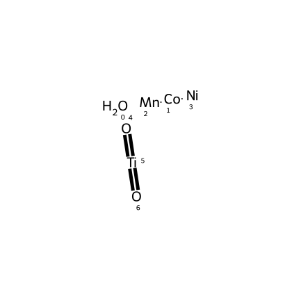 O.[Co].[Mn].[Ni].[O]=[Ti]=[O]